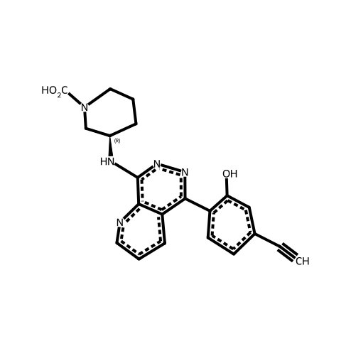 C#Cc1ccc(-c2nnc(N[C@@H]3CCCN(C(=O)O)C3)c3ncccc23)c(O)c1